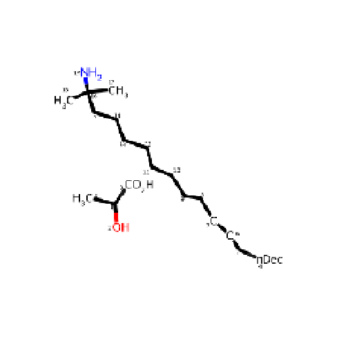 CC(O)C(=O)O.CCCCCCCCCCCCCCCCCCCCCC(C)(C)N